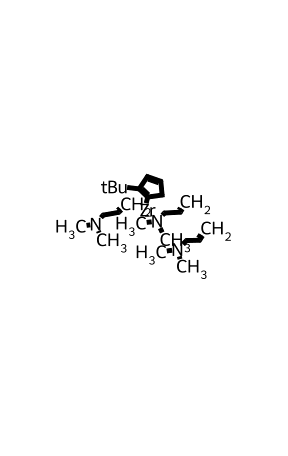 C=CCN(C)C.C=CCN(C)C.C=CCN(C)C.CC(C)(C)C1=[C]([Zr])CC=C1